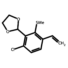 C=Cc1ccc(Cl)c(C2OCCO2)c1SC